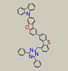 c1ccc(-c2nc(Cc3cccc4sc5ccc(-c6ccc7oc8cc(-n9c%10ccccc%10c%10ccccc%109)ccc8c7c6)cc5c34)nc(-c3ccccc3)n2)cc1